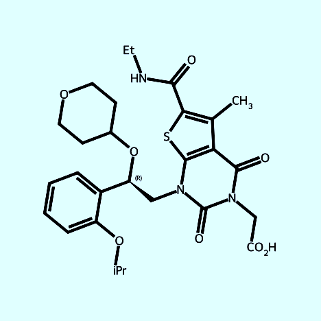 CCNC(=O)c1sc2c(c1C)c(=O)n(CC(=O)O)c(=O)n2C[C@H](OC1CCOCC1)c1ccccc1OC(C)C